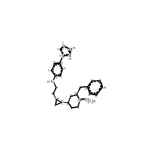 O=C(O)N1CCC([C@H]2C[C@H]2CCOc2ccc(-n3cnnn3)cc2)CC1Cc1ccccc1